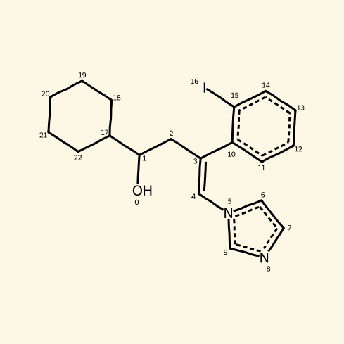 OC(CC(=Cn1ccnc1)c1ccccc1I)C1CCCCC1